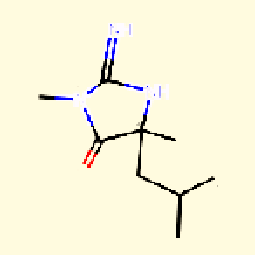 CC(C)CC1(C)NC(=N)N(C)C1=O